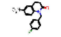 O=C1CCc2cc([N+](=O)[O-])ccc2N1Cc1ccc(F)cc1